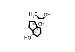 CC(CO)[C@H]1CCC2[C@@H](O)CCC[C@@]21C